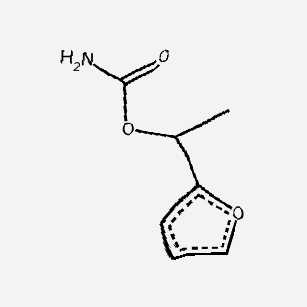 CC(OC(N)=O)c1ccco1